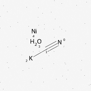 N#[C][K].O.[Ni]